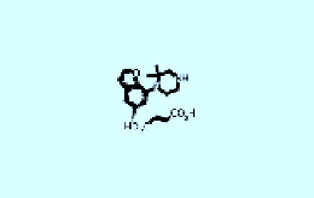 CC1(C)CNCCN1c1cc(F)cc2ccoc12.O=C(O)/C=C/C(=O)O